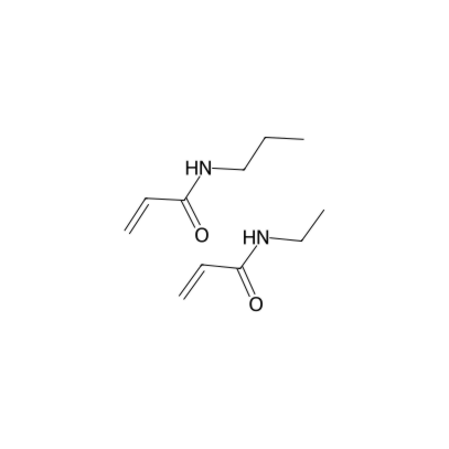 C=CC(=O)NCC.C=CC(=O)NCCC